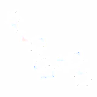 c1ncc(-c2cnc3[nH]nc(-c4cc5c(N6CCCCC6)cncc5[nH]4)c3c2)cc1OCCN1CCCC1